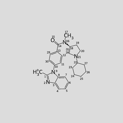 Cc1nc2ccccc2n1-c1ccc(C(=O)N(C)[C@H]2CCN(C3CCCCC3)C2)cc1